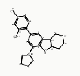 Clc1ccc(-c2cc3c(c(N4CCCC4)c2)OC2CCNCC32)c(Cl)c1